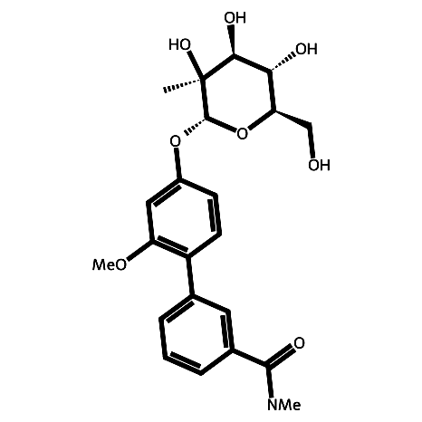 CNC(=O)c1cccc(-c2ccc(O[C@H]3O[C@H](CO)[C@@H](O)[C@H](O)[C@]3(C)O)cc2OC)c1